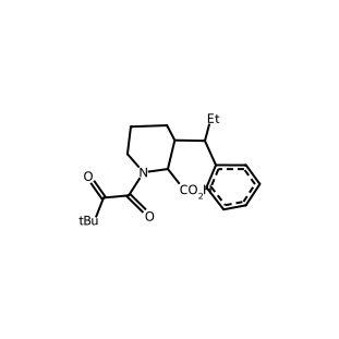 CCC(c1ccccc1)C1CCCN(C(=O)C(=O)C(C)(C)C)C1C(=O)O